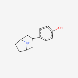 Oc1ccc(C2CC3CCC(C2)N3)cc1